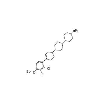 CCCC1CCC(C2CCC(C3CC=C(c4ccc(OCC)c(F)c4Cl)CC3)CC2)CC1